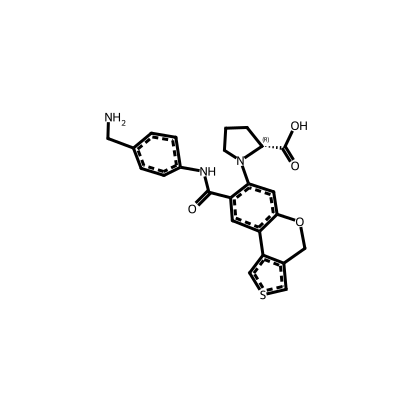 NCc1ccc(NC(=O)c2cc3c(cc2N2CCC[C@@H]2C(=O)O)OCc2cscc2-3)cc1